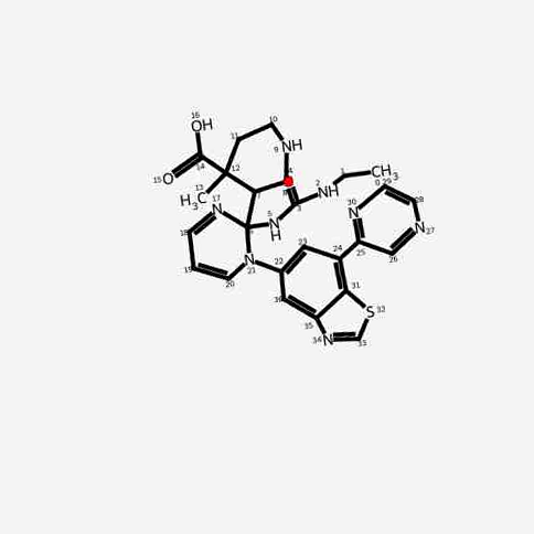 CCNC(=O)NC1(C2CNCCC2(C)C(=O)O)N=CC=CN1c1cc(-c2cnccn2)c2scnc2c1